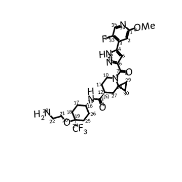 COc1cc(-c2cc(C(=O)N3CC[C@H](C(=O)N[C@H]4CC[C@@](OCCN)(C(F)(F)F)CC4)CC34CC4)n[nH]2)c(F)cn1